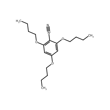 CCCCOc1cc(OCCCC)c([N+]#N)c(OCCCC)c1